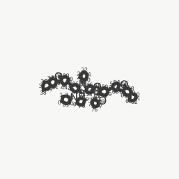 c1ccc(N2c3ccccc3B3c4cc5c(cc4N(c4ccccc4)c4cc(-c6ccc7oc8cc9ccccc9cc8c7c6)cc2c43)Oc2cc(-c3ccc4oc6cc7ccccc7cc6c4c3)cc3c2B5c2ccccc2O3)cc1